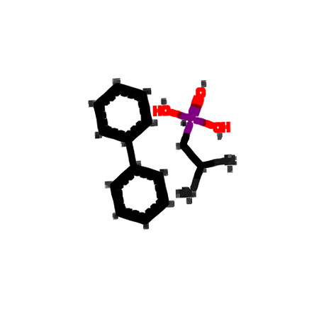 CCCCC(CC)CP(=O)(O)O.c1ccc(-c2ccccc2)cc1